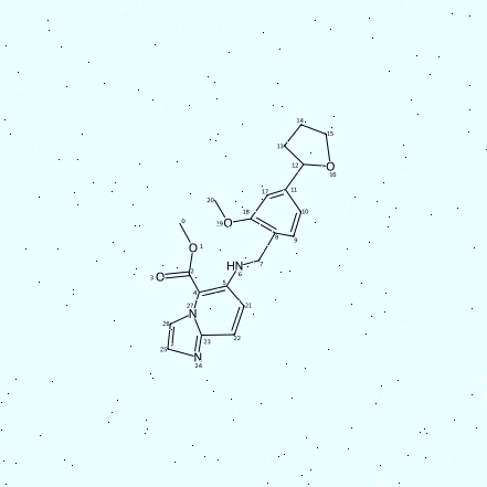 COC(=O)c1c(NCc2ccc(C3CCCO3)cc2OC)ccc2nccn12